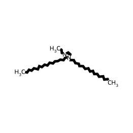 CCCCCCCCCCCCCCCCCN1C=CN(CCC)C1CCCCCCCCCCCCCCCC